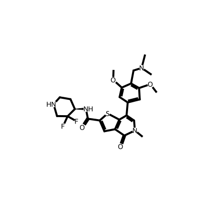 COc1cc(-c2cn(C)c(=O)c3cc(C(=O)N[C@@H]4CCNCC4(F)F)sc23)cc(OC)c1CN(C)C